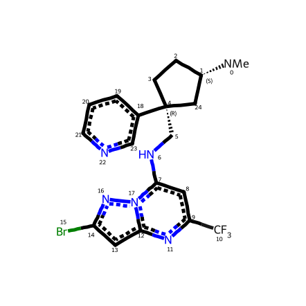 CN[C@H]1CC[C@](CNc2cc(C(F)(F)F)nc3cc(Br)nn23)(c2cccnc2)C1